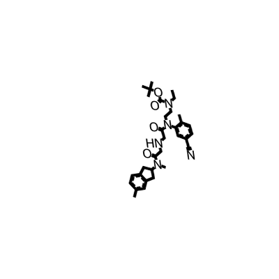 CCN(CCN(C(=O)CNCC(=O)N(C)C1Cc2ccc(C)cc2C1)c1cc(C#N)ccc1C)C(=O)OC(C)(C)C